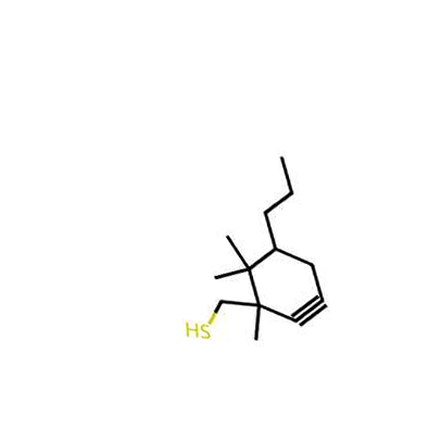 CCCC1CC#CC(C)(CS)C1(C)C